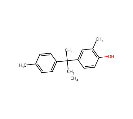 C.Cc1ccc(C(C)(C)c2ccc(O)c(C)c2)cc1